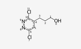 OCCCc1cc(Cl)nnc1Cl